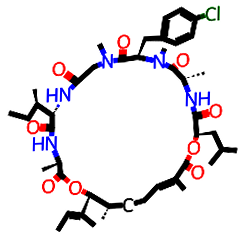 C/C=C(\C)[C@H]1OC(=O)[C@@H](C)NC(=O)[C@H]([C@H](C)CC)NC(=O)CN(C)C(=O)[C@@H](Cc2ccc(Cl)cc2)N(C)C(=O)[C@H](C)NC(=O)[C@@H](CC(C)C)OC(=O)/C(C)=C/C[CH][C@@H]1C